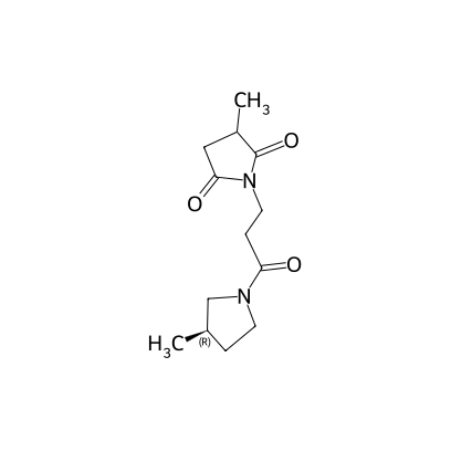 CC1CC(=O)N(CCC(=O)N2CC[C@@H](C)C2)C1=O